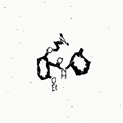 CCOc1cccc(OCCN(C)C)c1C(=O)Nc1cccc(C)c1